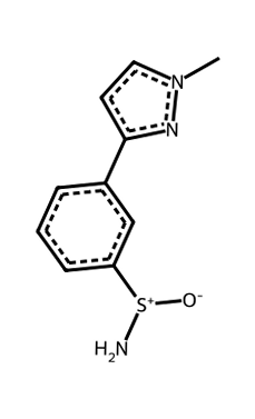 Cn1ccc(-c2cccc([S+](N)[O-])c2)n1